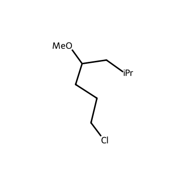 COC(CCCCl)CC(C)C